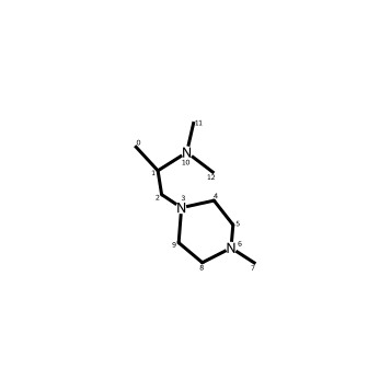 CC(CN1CCN(C)CC1)N(C)C